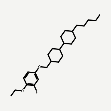 CCCCCC1CCC(C2CCC(COc3ccc(OCC)c(F)c3)CC2)CC1